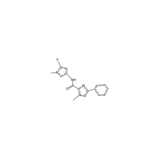 Cn1cc(NC(=O)c2nc(-c3ccccc3)cn2C)cc1F